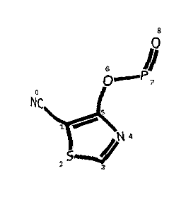 N#Cc1scnc1OP=O